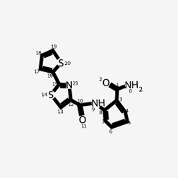 NC(=O)c1ccccc1NC(=O)c1csc(-c2cccs2)n1